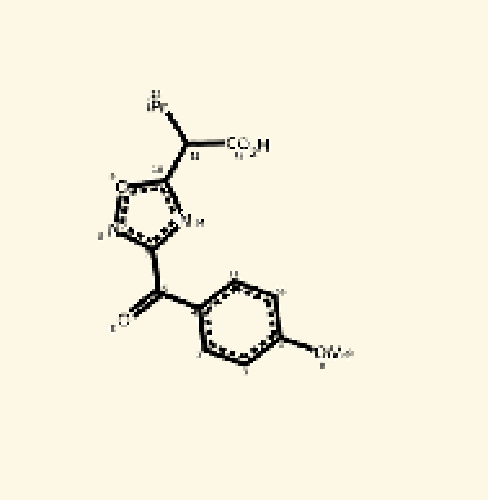 COc1ccc(C(=O)c2noc(C(C(=O)O)C(C)C)n2)cc1